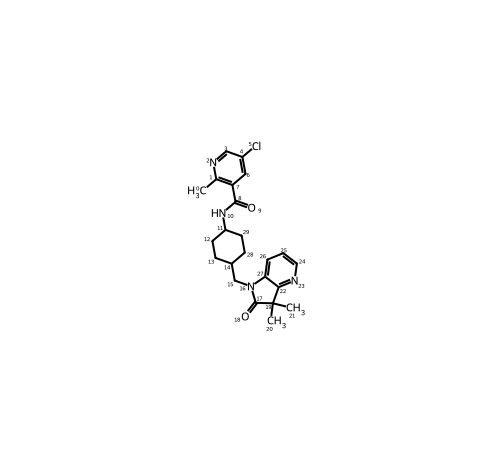 Cc1ncc(Cl)cc1C(=O)NC1CCC(CN2C(=O)C(C)(C)c3ncccc32)CC1